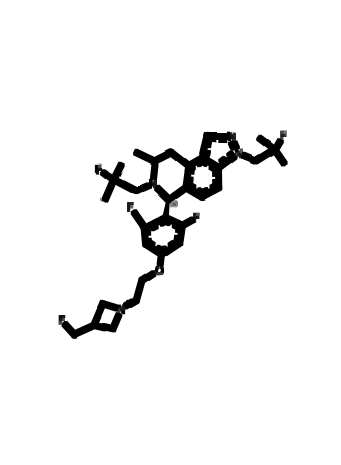 CC1Cc2c(ccc3c2cnn3CC(C)(C)F)[C@@H](c2c(F)cc(OCCN3CC(CF)C3)cc2F)N1CC(C)(C)F